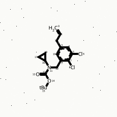 C=CCc1cc(Cl)c(Cl)c(CN(C(=O)OC(C)(C)C)C2CC2)c1